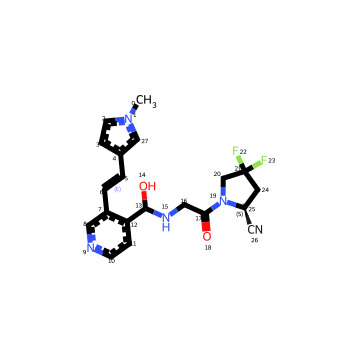 Cn1ccc(/C=C/c2cnccc2C(O)NCC(=O)N2CC(F)(F)C[C@H]2C#N)c1